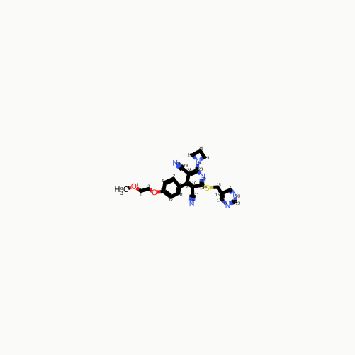 COCCOc1ccc(-c2c(C#N)c(SCc3cncnc3)nc(N3CCC3)c2C#N)cc1